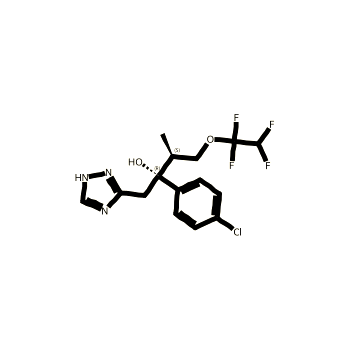 C[C@@H](COC(F)(F)C(F)F)[C@](O)(Cc1nc[nH]n1)c1ccc(Cl)cc1